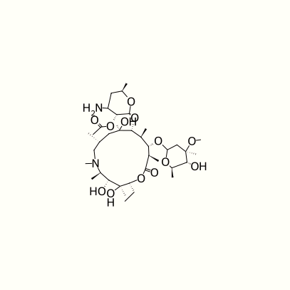 CC[C@H]1OC(=O)[C@H](C)[C@@H](OC2C[C@@](C)(OC)[C@H](O)[C@@H](C)O2)[C@H](C)[C@@H](O[C@@H]2O[C@H](C)CC(N)[C@H]2OC(C)=O)[C@](C)(O)C[C@@H](C)CN(C)[C@H](C)[C@@H](O)[C@]1(C)O